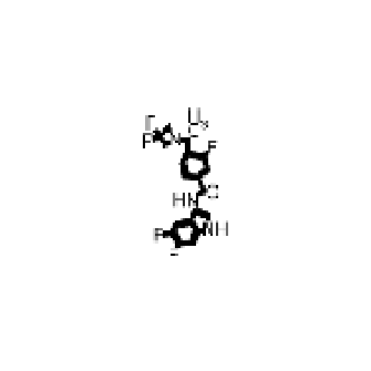 C[C@@H](c1ccc(C(=O)Nc2c[nH]c3cc(F)c(F)cc23)cc1F)N1CC(F)(F)C1